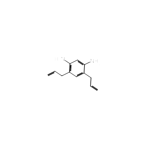 C=CCc1cc(CC=C)c(N)cc1N